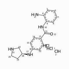 Cl.Cl.Cl.Nc1ccccc1NC(=O)c1ccc(N[C@H]2CCNC2)cc1